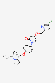 CC(C)N1CCC[C@H]1COc1ccc(-n2ccc(OCc3ccc(Cl)cn3)cc2=O)cc1